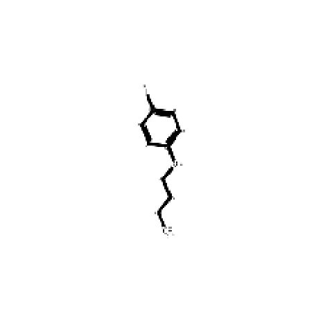 FC(F)(F)CCCOc1ccc(I)cc1